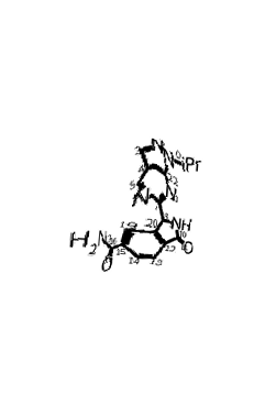 CC(C)n1ncc2cnc(C3NC(=O)c4ccc(C(N)=O)cc43)nc21